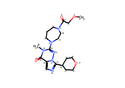 COCC(=O)N1CCCN(c2nn3c(C4CCOCC4)ncc3c(=O)n2C)CC1